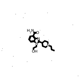 CCCN1CCC(c2nc3c(C(N)=O)cccc3n2CCO)CC1